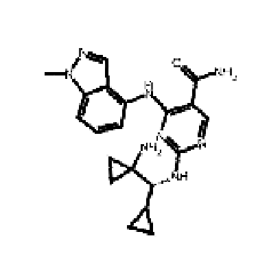 Cn1ncc2c(Nc3nc(N[C@H](C4CC4)C4(N)CC4)ncc3C(N)=O)cccc21